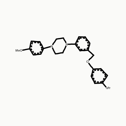 CCCc1ccc(OCc2cccc(N3CCN(c4ccc(OC)cc4)CC3)c2)cc1